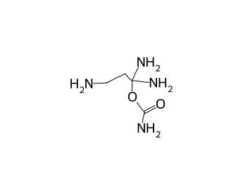 NCCC(N)(N)OC(N)=O